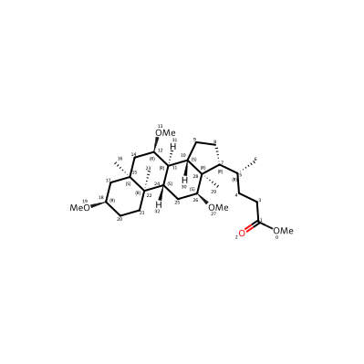 COC(=O)CC[C@@H](C)[C@H]1CC[C@H]2[C@@H]3[C@H](OC)C[C@]4(C)C[C@H](OC)CC[C@]4(C)[C@H]3C[C@H](OC)[C@]12C